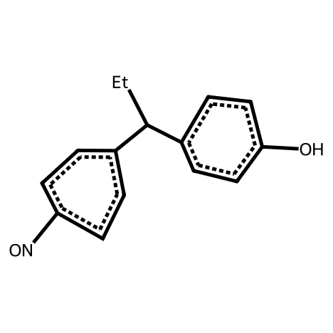 CCC(c1ccc(O)cc1)c1ccc(N=O)cc1